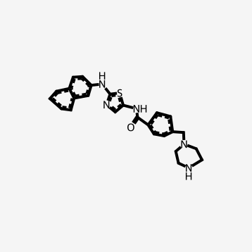 O=C(Nc1cnc(Nc2ccc3ccccc3c2)s1)c1ccc(CN2CCNCC2)cc1